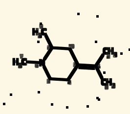 CC(C)=C1CCN(C)C(C)C1